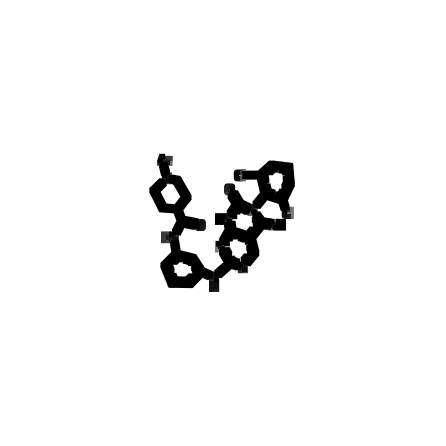 CC(=O)N1CCC(C(=O)Nc2cccc(Nc3ncc4c(=N)n(-c5c(Cl)cccc5Cl)c(=O)[nH]c4n3)c2)CC1